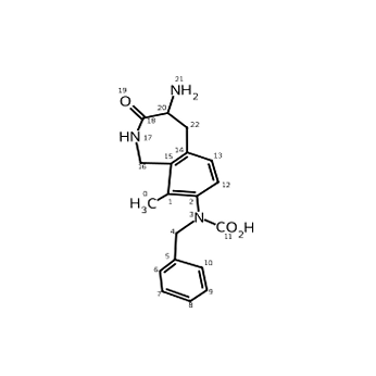 Cc1c(N(Cc2ccccc2)C(=O)O)ccc2c1CNC(=O)C(N)C2